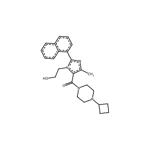 Cc1nc(-c2cccc3ccccc23)n(CCO)c1C(=O)N1CCN(C2CCC2)CC1